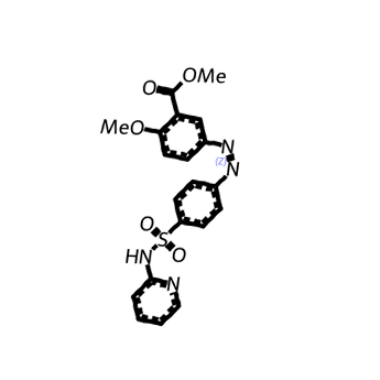 COC(=O)c1cc(/N=N\c2ccc(S(=O)(=O)Nc3ccccn3)cc2)ccc1OC